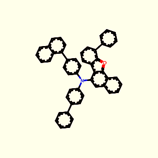 c1ccc(-c2ccc(N(c3ccc(-c4cccc5ccccc45)cc3)c3cc4ccccc4c4oc5c(-c6ccccc6)cccc5c34)cc2)cc1